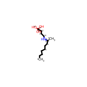 CCCCCCC[C@H](C)NCCCC(O)(O)O